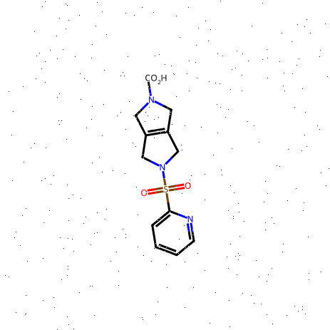 O=C(O)N1CC2=C(C1)CN(S(=O)(=O)c1ccccn1)C2